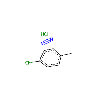 Cc1ccc(Cl)cc1.Cl.N#N